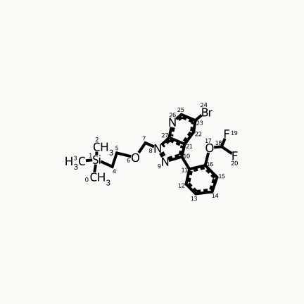 C[Si](C)(C)CCOCn1nc(-c2ccccc2OC(F)F)c2cc(Br)cnc21